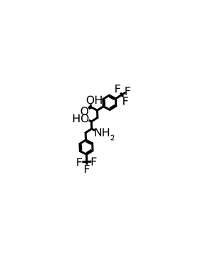 NC(Cc1ccc(C(F)(F)F)cc1)C(O)CC(C(=O)O)c1ccc(C(F)(F)F)cc1